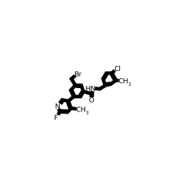 Cc1cc(CNC(=O)c2cc(CBr)cc(-c3cnc(F)cc3C)c2)ccc1Cl